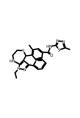 CCn1nc(-c2ccccn2)c2c1NCCSC2c1ccc(C(=O)Nc2nnc(C)s2)cc1C